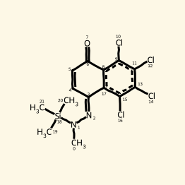 CN(N=C1C=CC(=O)c2c(Cl)c(Cl)c(Cl)c(Cl)c21)[Si](C)(C)C